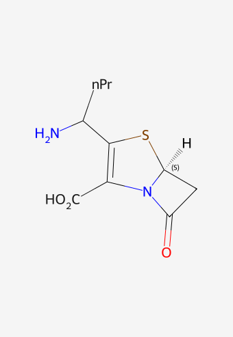 CCCC(N)C1=C(C(=O)O)N2C(=O)C[C@@H]2S1